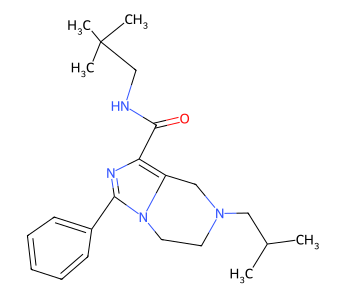 CC(C)CN1CCn2c(-c3ccccc3)nc(C(=O)NCC(C)(C)C)c2C1